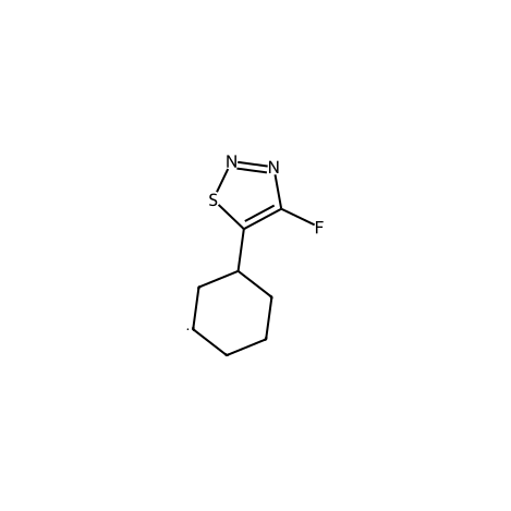 Fc1nnsc1C1C[CH]CCC1